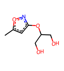 Cc1cc(OC(CO)CO)no1